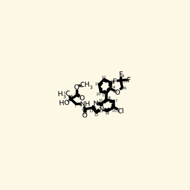 COC(=O)C(C)(O)CNC(=O)c1cn2cc(Cl)cc(-c3ccccc3OCC(F)(F)F)c2n1